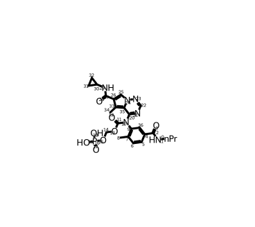 CCCNC(=O)c1ccc(C)c(N(C(=O)OCOP(=O)(O)O)c2ncnn3cc(C(=O)NC4CC4)c(C)c23)c1